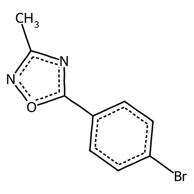 Cc1noc(-c2ccc(Br)cc2)n1